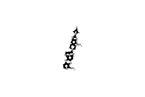 Nc1nccc(Sc2ccc3nc(N4CCC5(CC4)Cc4nc(N6CC(F)C6)sc4[C@H]5N)c4cnc2n34)c1Cl